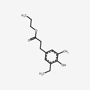 CCCOC(=O)CCc1cc(C)c(O)c(CC)c1